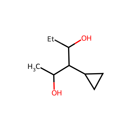 CCC(O)C(C(C)O)C1CC1